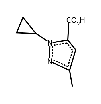 Cc1cc(C(=O)O)n(C2CC2)n1